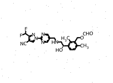 Cc1ccc([C@@H](O)CNCc2cnc(-n3cc(C#N)c(C(F)F)n3)nc2)c(C)c1COC=O